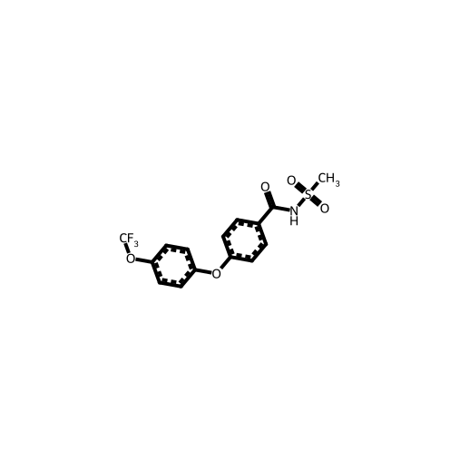 CS(=O)(=O)NC(=O)c1ccc(Oc2ccc(OC(F)(F)F)cc2)cc1